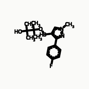 Cn1cc(BOC(C)(C)C(C)(C)O)c(-c2ccc(F)cc2)n1